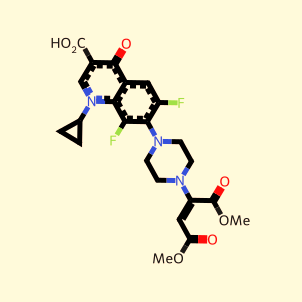 COC(=O)C=C(C(=O)OC)N1CCN(c2c(F)cc3c(=O)c(C(=O)O)cn(C4CC4)c3c2F)CC1